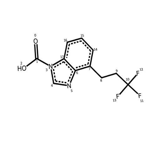 O=C(O)n1cnc2c(CCC(F)(F)F)cccc21